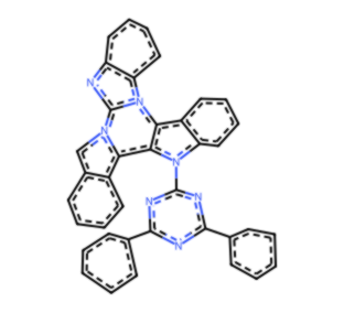 c1ccc(-c2nc(-c3ccccc3)nc(-n3c4ccccc4c4c3c3c5ccccc5cn3c3nc5ccccc5n43)n2)cc1